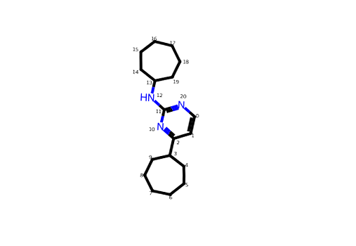 c1cc(C2CCCCCC2)nc(NC2CCCCCC2)n1